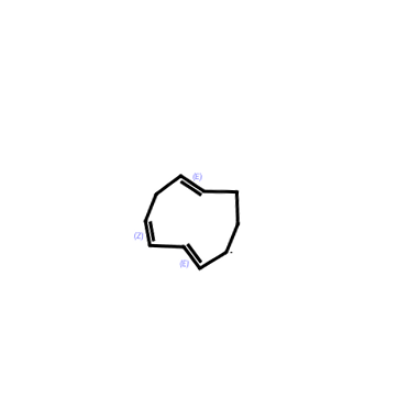 [CH]1/C=C/C=C\C/C=C/CC1